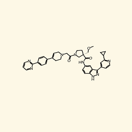 COC[C@@]1(C(=O)Nc2ccc3[nH]nc(-c4ccnc(C5CC5)c4)c3c2)CCN(C(=O)CN2CC=C(c3ccc(-c4ncccn4)cc3)CC2)C1